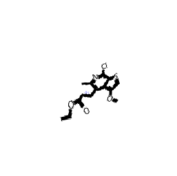 CCOC(=O)/C=C/c1c(C)nc(Cl)c2scc(OC)c12